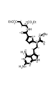 CCOC(=O)CC[C@@H](NC(=O)c1ccc(N(CCc2c[nH]c3nc(N)nc(N)c23)C(=O)OC(C)(C)C)s1)C(=O)OCC